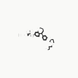 CC(C)(C)C(=O)Oc1ccc2c(c1)SCCC=C2c1cccc(OC2CCN(CCCF)C2)c1